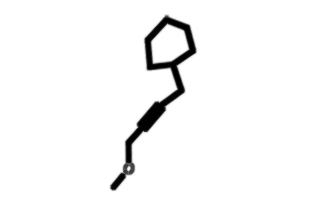 COCC#CCC1CC[CH]CC1